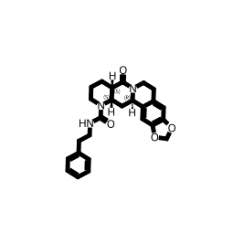 O=C1[C@H]2CCCN(C(=O)NCCc3ccccc3)[C@H]2C[C@@H]2c3cc4c(cc3CCN12)OCO4